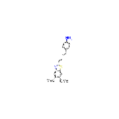 COc1cc2nc(C=CC=Cc3ccc(N)cc3)sc2cc1OC